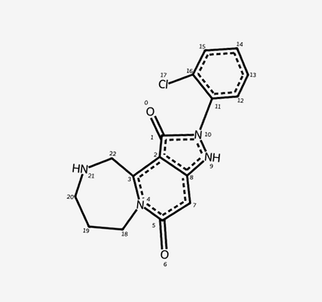 O=c1c2c3n(c(=O)cc2[nH]n1-c1ccccc1Cl)CCCNC3